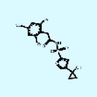 CC(C)c1cc(C#N)cc(C(C)C)c1CC(=O)NS(=O)(=O)c1cc(C2(O)CC2)cs1